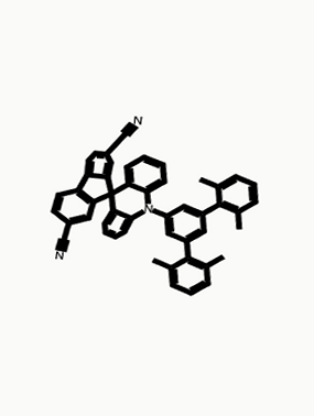 Cc1cccc(C)c1-c1cc(-c2c(C)cccc2C)cc(N2c3ccccc3C3(c4cc(C#N)ccc4-c4ccc(C#N)cc43)c3ccccc32)c1